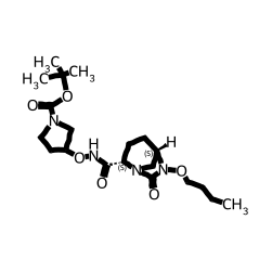 CCCCON1C(=O)N2C[C@@H]1CC[C@H]2C(=O)NOC1CCN(C(=O)OC(C)(C)C)C1